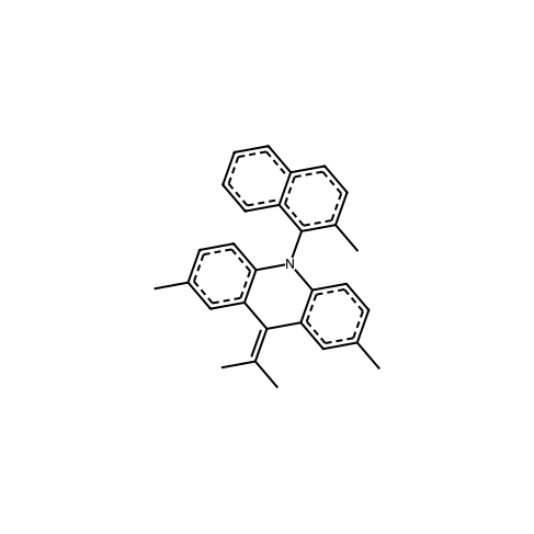 CC(C)=C1c2cc(C)ccc2N(c2c(C)ccc3ccccc23)c2ccc(C)cc21